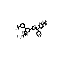 CC(C)(O)c1cccc(-c2cc(-c3cnn(C(c4ccc(C(F)(F)F)nc4)C4CCOCC4)c3)cn3nc(N)nc23)c1